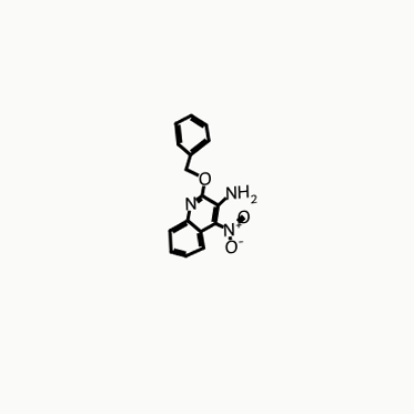 Nc1c(OCc2ccccc2)nc2ccccc2c1[N+](=O)[O-]